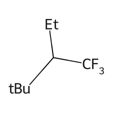 CCC(C(C)(C)C)C(F)(F)F